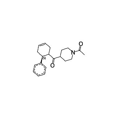 CC(=O)N1CCC(C(=O)C2CC=CC[C@@H]2c2ccccc2)CC1